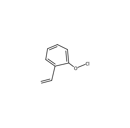 C=Cc1ccccc1OCl